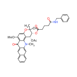 COc1cc2c(c3c1c(=O)c1cc4ccccc4cc1n3C)[C@@H](OC(C)=O)[C@@H](OC(=O)CCCC(=O)NCc1ccccc1)C(C)(C)O2